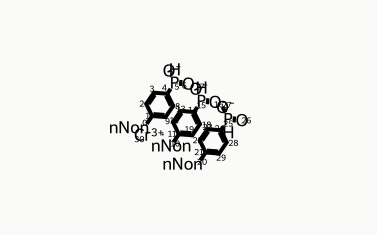 CCCCCCCCCc1ccc([PH](=O)[O-])cc1.CCCCCCCCCc1ccc([PH](=O)[O-])cc1.CCCCCCCCCc1ccc([PH](=O)[O-])cc1.[Cr+3]